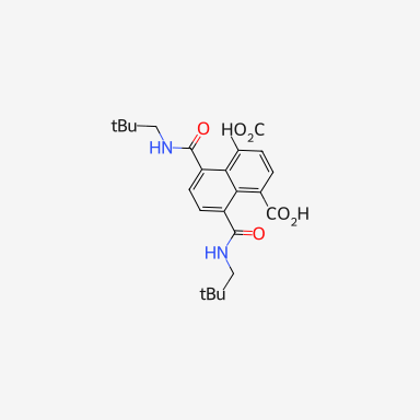 CC(C)(C)CNC(=O)c1ccc(C(=O)NCC(C)(C)C)c2c(C(=O)O)ccc(C(=O)O)c12